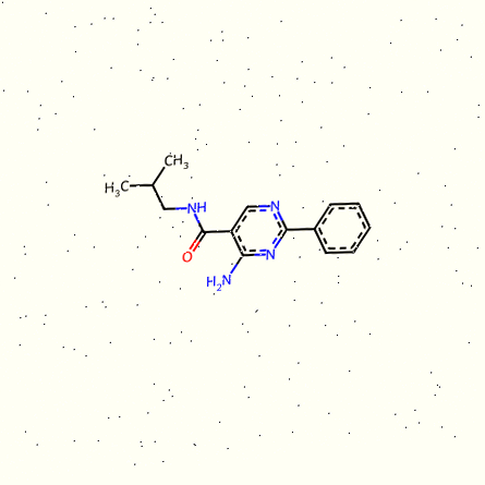 CC(C)CNC(=O)c1cnc(-c2ccccc2)nc1N